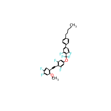 CCCCCc1ccc(-c2cc(F)c(C(F)(F)Oc3cc(F)c(C#Cc4cc(F)c(F)cc4OC)c(F)c3)c(F)c2)cc1